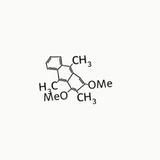 COc1cc2c(C)c3ccccc3c(C)c2c(OC)c1C